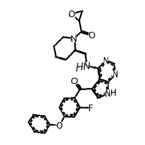 O=C(c1ccc(Oc2ccccc2)cc1F)c1c[nH]c2ncnc(NCC3CCCCN3C(=O)C3CO3)c12